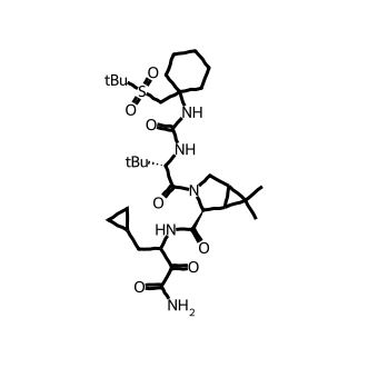 CC1(C)C2CN(C(=O)[C@@H](NC(=O)NC3(CS(=O)(=O)C(C)(C)C)CCCCC3)C(C)(C)C)[C@H](C(=O)NC(CC3CC3)C(=O)C(N)=O)C21